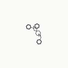 c1ccc(CCC2(c3ccccn3)CCN(Cc3ccccc3)CC2)cc1